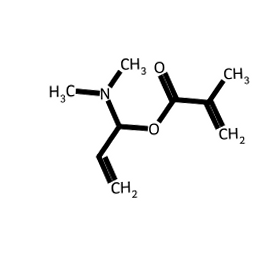 C=CC(OC(=O)C(=C)C)N(C)C